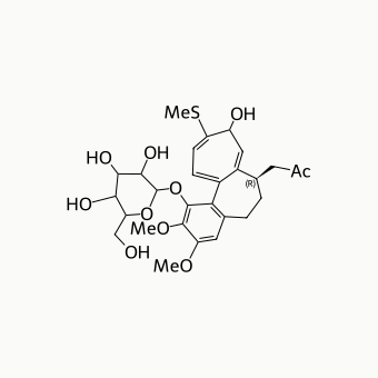 COc1cc2c(c(OC3OC(CO)C(O)C(O)C3O)c1OC)C1=CC=C(SC)C(O)C=C1[C@@H](CC(C)=O)CC2